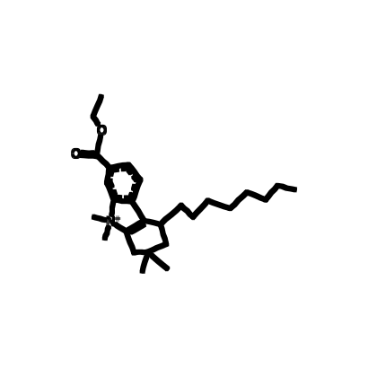 CCCCCCCCC1CC(C)(C)CC2=C1c1ccc(C(=O)OCC)cc1[N+]2(C)C